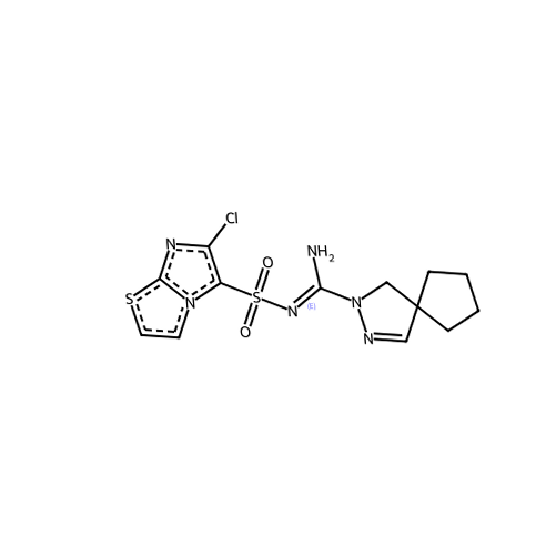 N/C(=N\S(=O)(=O)c1c(Cl)nc2sccn12)N1CC2(C=N1)CCCC2